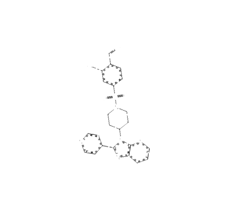 O=Cc1ccc(S(=O)(=O)N2CCC(n3c(-c4ccncc4)nc4cccnc43)CC2)cc1Cl